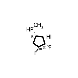 CP[C@H]1C[C@@H](F)[C@@H](F)C1.I